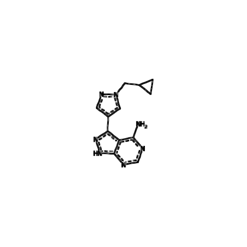 Nc1ncnc2[nH]nc(-c3cnn(CC4CC4)c3)c12